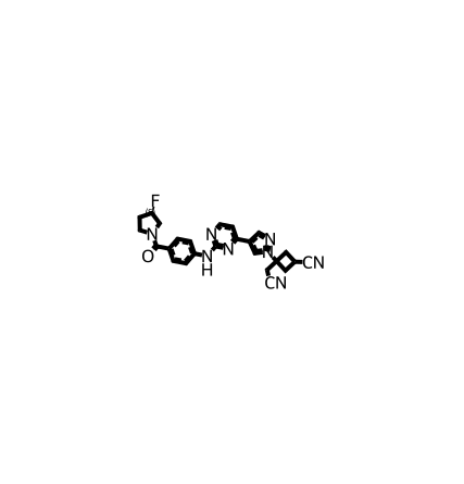 N#CCC1(n2cc(-c3ccnc(Nc4ccc(C(=O)N5CC[C@H](F)C5)cc4)n3)cn2)CC(C#N)C1